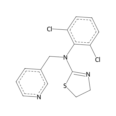 Clc1cccc(Cl)c1N(Cc1cccnc1)C1=NCCS1